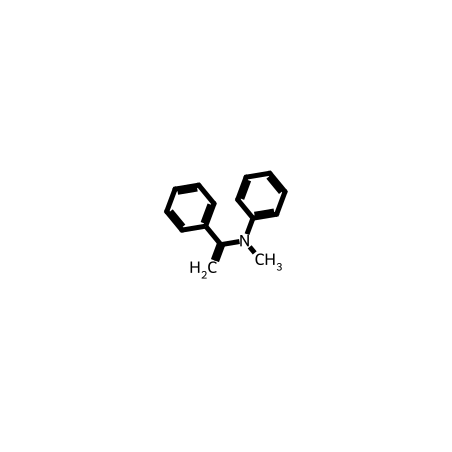 C=C(c1ccccc1)N(C)c1ccccc1